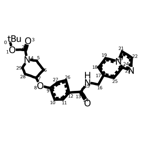 CC(C)(C)OC(=O)N1CCC(Oc2ccc(C(=O)NCc3ccn4ccnc4c3)cc2)CC1